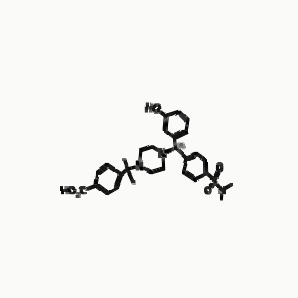 CN(C)S(=O)(=O)c1ccc([C@H](c2cccc(O)c2)N2CCN(C(C)(C)c3ccc(C(=O)O)cc3)CC2)cc1